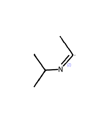 C/[C]=N\C(C)C